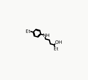 CCc1ccc(NCCCC(O)CC)cc1